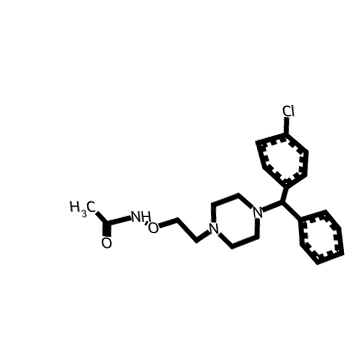 CC(=O)NOCCN1CCN(C(c2ccccc2)c2ccc(Cl)cc2)CC1